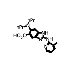 CCCN(CCC)c1cc2[nH]c(Nc3ncccc3C)nc2cc1C(=O)O